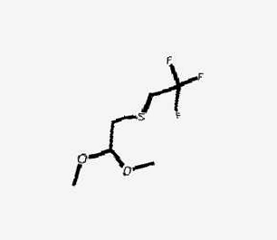 COC(CSCC(F)(F)F)OC